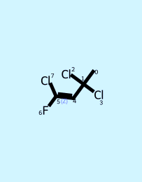 CC(Cl)(Cl)/C=C(/F)Cl